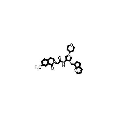 O=C(CN1CCc2ccc(C(F)(F)F)cc2C1=O)NC1CN(C2CCOCC2)C[C@@H]1CC1CCc2cccnc21